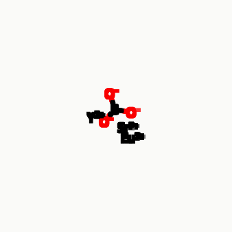 [Eu+3].[O-]B([O-])[O-].[Sr+2].[Y+3]